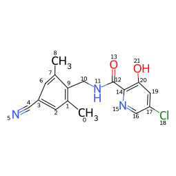 Cc1cc(C#N)cc(C)c1CNC(=O)c1ncc(Cl)cc1O